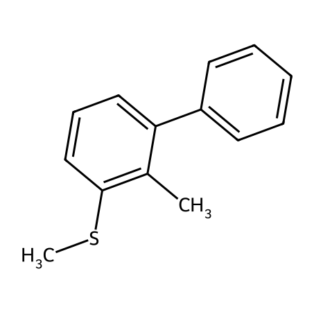 CSc1cccc(-c2ccccc2)c1C